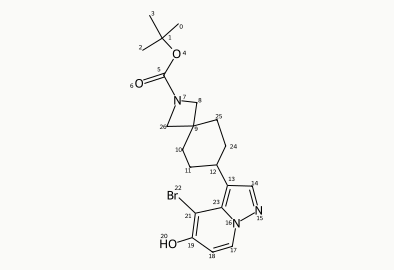 CC(C)(C)OC(=O)N1CC2(CCC(c3cnn4ccc(O)c(Br)c34)CC2)C1